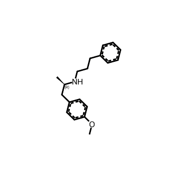 COc1ccc(C[C@@H](C)NCCCc2ccccc2)cc1